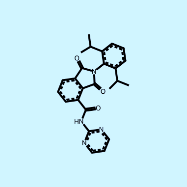 CC(C)c1cccc(C(C)C)c1N1C(=O)c2cccc(C(=O)Nc3ncccn3)c2C1=O